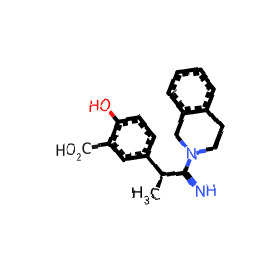 C[C@H](C(=N)N1CCc2ccccc2C1)c1ccc(O)c(C(=O)O)c1